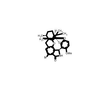 COc1ccccc1[C@H]1NC(=O)c2c(Br)cc3c(c21)O[C@@]12C[C@@H](Cl)C(=O)C(C)(C)[C@@H]1CC[C@H](C)[C@@]2(C)C3